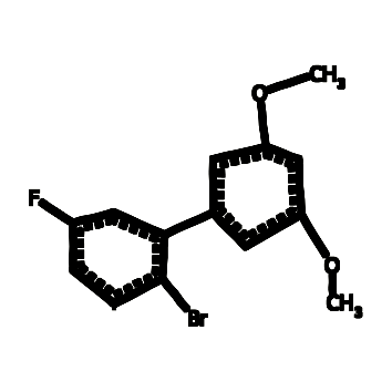 COc1cc(OC)cc(-c2cc(F)c[c]c2Br)c1